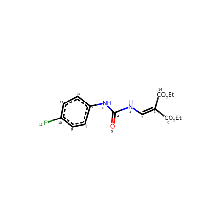 CCOC(=O)C(=CNC(=O)Nc1ccc(F)cc1)C(=O)OCC